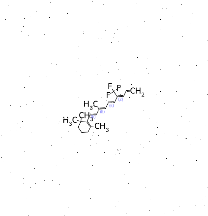 C=C/C=C(/C=C/C=C(C)/C=C/C1=C(C)CCCC1(C)C)C(F)(F)F